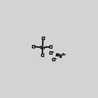 [Cl-].[Cl-].[Cl][Sn]([Cl])([Cl])[Cl].[Mg+2]